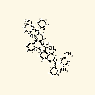 Cc1ccc(C)c(N(c2ccccc2)c2ccc3c4c(ccc3c2)-c2c(c3ccc(N(c5ccccc5)c5cc(C)ccc5C)cc3c3ccccc23)C4(C)C)c1